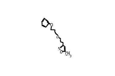 Cc1cc(CCCOCCCCOc2ccccc2)no1